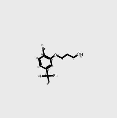 OCCCOc1cc(C(F)(F)F)ccc1Br